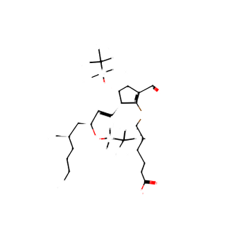 CCCC[C@@H](C)C[C@@H](/C=C/[C@@H]1C(SCCCCCC(=O)O)=C(C=O)C[C@H]1O[Si](C)(C)C(C)(C)C)O[Si](C)(C)C(C)(C)C